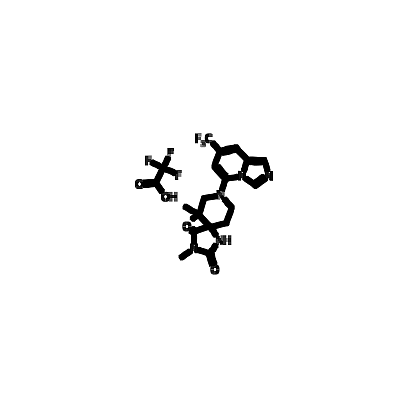 CN1C(=O)NC2(CCN(c3cc(C(F)(F)F)cc4cncn34)CC2(C)C)C1=O.O=C(O)C(F)(F)F